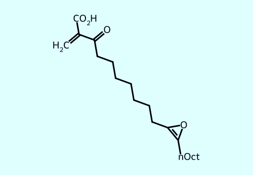 C=C(C(=O)O)C(=O)CCCCCCCC1=C(CCCCCCCC)O1